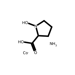 N.O=C(O)C1CCCN1O.[Co]